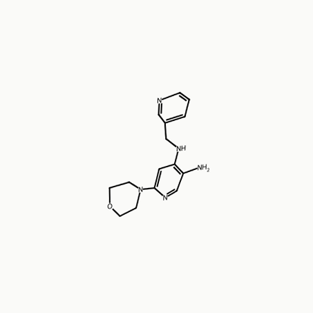 Nc1cnc(N2CCOCC2)cc1NCc1cccnc1